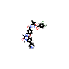 C[C@@H]1C(=O)N(C)c2cc(-c3ccncc3)ccc2C(=O)N1Cc1cccc(C(=O)NCC2(COC(=O)c3ccc(Cl)c(Cl)c3)CC2)c1